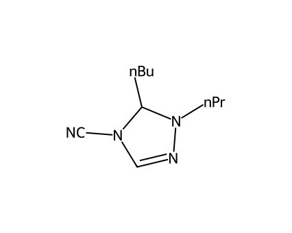 CCCCC1N(C#N)C=NN1CCC